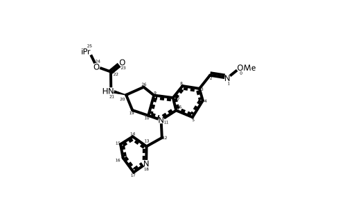 CON=Cc1ccc2c(c1)c1c(n2Cc2ccccn2)C[C@@H](NC(=O)OC(C)C)C1